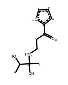 CC(O)C(C)(O)NCCC(=O)c1ccco1